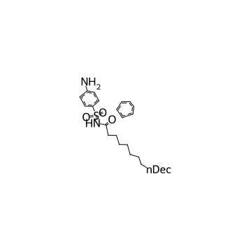 CCCCCCCCCCCCCCCCCC(=O)NS(=O)(=O)c1ccc(N)cc1.c1ccccc1